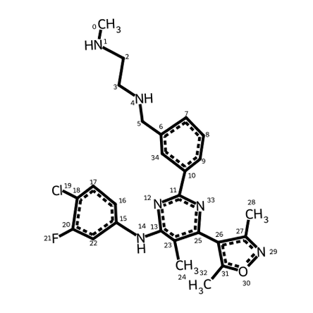 CNCCNCc1cccc(-c2nc(Nc3ccc(Cl)c(F)c3)c(C)c(-c3c(C)noc3C)n2)c1